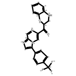 O=C(c1cn2c(-c3ccc(C(F)(F)F)cc3)cnc2cn1)C1CNc2ccccc2O1